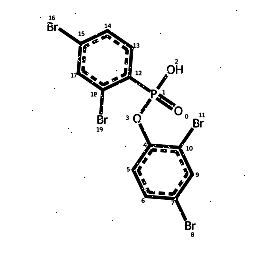 O=P(O)(Oc1ccc(Br)cc1Br)c1ccc(Br)cc1Br